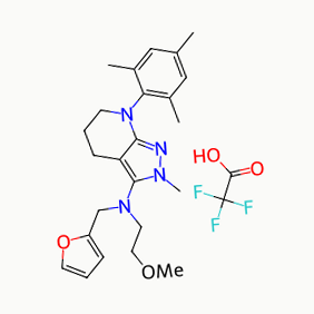 COCCN(Cc1ccco1)c1c2c(nn1C)N(c1c(C)cc(C)cc1C)CCC2.O=C(O)C(F)(F)F